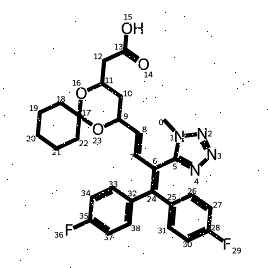 Cn1nnnc1C(C=CC1CC(CC(=O)O)OC2(CCCCC2)O1)=C(c1ccc(F)cc1)c1ccc(F)cc1